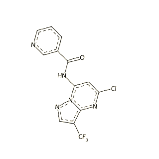 O=C(Nc1cc(Cl)nc2c(C(F)(F)F)cnn12)c1cccnc1